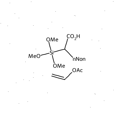 C=COC(C)=O.CCCCCCCCCC(C(=O)O)[Si](OC)(OC)OC